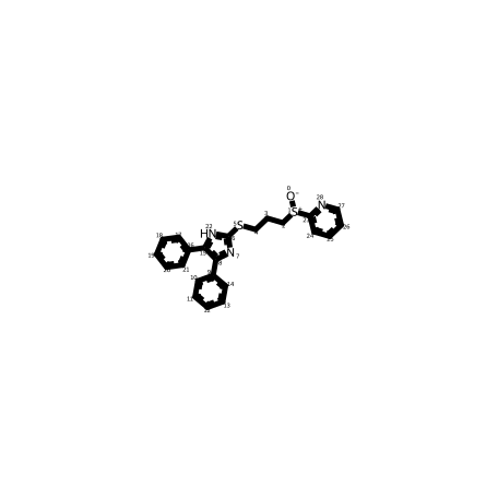 [O-][S+](CCCSc1nc(-c2ccccc2)c(-c2ccccc2)[nH]1)c1ccccn1